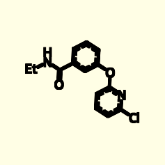 CCNC(=O)c1cccc(Oc2cccc(Cl)n2)c1